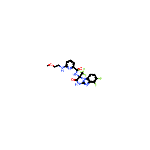 COCCNc1cccc(C(=O)NC2(C(F)(F)F)C(=O)Nc3nc4c(F)c(F)ccc4n32)n1